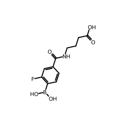 O=C(O)CCCNC(=O)c1ccc(B(O)O)c(F)c1